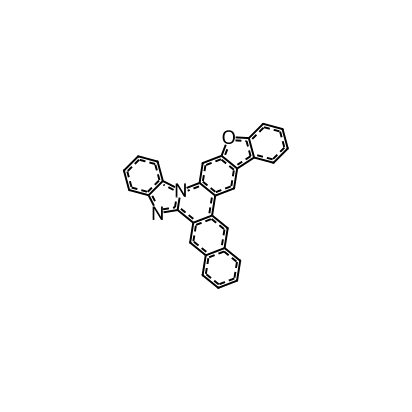 c1ccc2cc3c(cc2c1)c1cc2c(cc1n1c4ccccc4nc31)oc1ccccc12